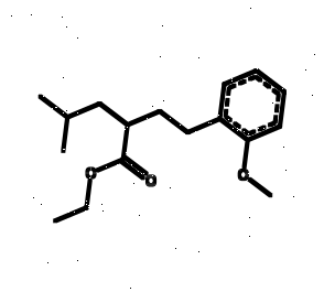 CCOC(=O)C(CCc1ccccc1OC)CC(C)C